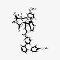 COc1ccc(-c2ccsc2-c2ccnc(NCCC(C=O)(c3sccc3-c3ccc(OC)cc3)N3C(=O)NC(=O)C3(C)C)n2)cc1